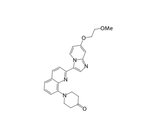 COCCOc1ccn2c(-c3ccc4cccc(N5CCC(=O)CC5)c4n3)cnc2c1